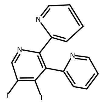 Ic1cnc(-c2ccccn2)c(-c2ccccn2)c1I